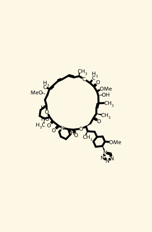 COC1C(=O)C(C)C[C@H](C)/C=C/C=C/C=C(\C)[C@@H](OC)C[C@@H]2CC[C@@H](C)C(O)(O2)C(=O)C(=O)N2CCCC[C@H]2C(=O)O[C@H]([C@H](C)CC2CC[C@H](n3cnnn3)C(OC)C2)CC(=O)[C@H](C)/C=C(\C)[C@H]1O